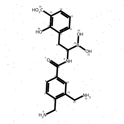 NCc1ccc(C(=O)NC(Cc2cccc(C(=O)O)c2O)B(O)O)cc1CN